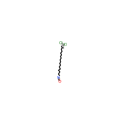 O=C=NCCCCCCCCCCCCCCCCCC[SiH](Cl)Cl